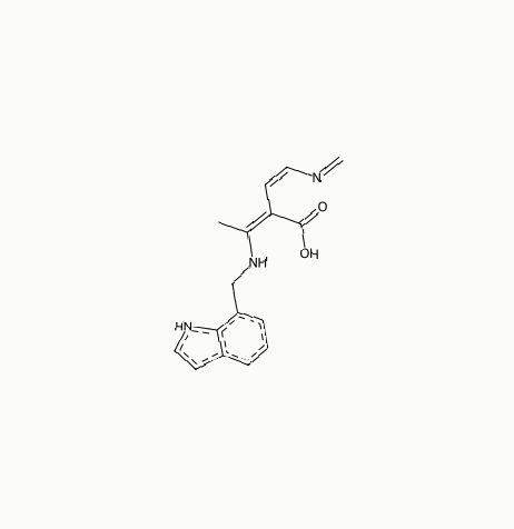 C=N/C=C\C(C(=O)O)=C(/C)NCc1cccc2cc[nH]c12